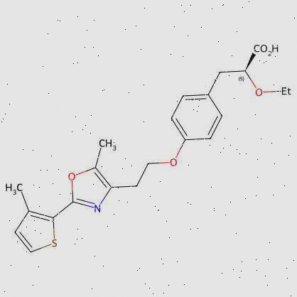 CCO[C@@H](Cc1ccc(OCCc2nc(-c3sccc3C)oc2C)cc1)C(=O)O